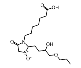 CCCOCC(O)CCC1N(CCCCCCC(=O)O)C(=O)C[S+]1[O-]